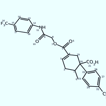 CC1CC=C(C(=O)OCC(=O)Nc2ccc(C(F)(F)F)cc2)CC1(C(=O)O)c1ccc(Cl)cc1